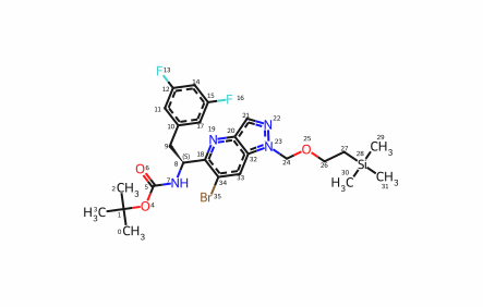 CC(C)(C)OC(=O)N[C@@H](Cc1cc(F)cc(F)c1)c1nc2cnn(COCC[Si](C)(C)C)c2cc1Br